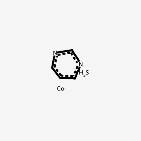 S.[Co].c1cncnc1